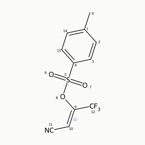 Cc1ccc(S(=O)(=O)O/C(=C\C#N)C(F)(F)F)cc1